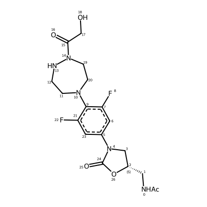 CC(=O)NC[C@H]1CN(c2cc(F)c(N3CCNN(C(=O)CO)CC3)c(F)c2)C(=O)O1